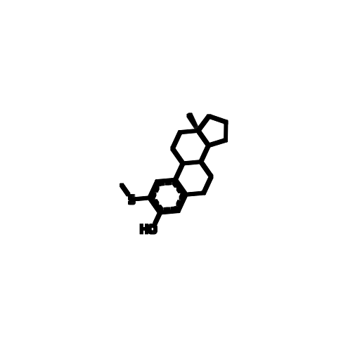 CSc1cc2c(cc1O)CCC1C2CC[C@]2(C)CCCC12